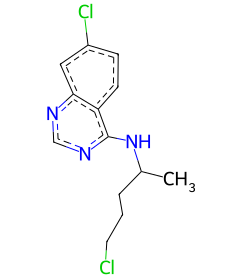 CC(CCCCl)Nc1ncnc2cc(Cl)ccc12